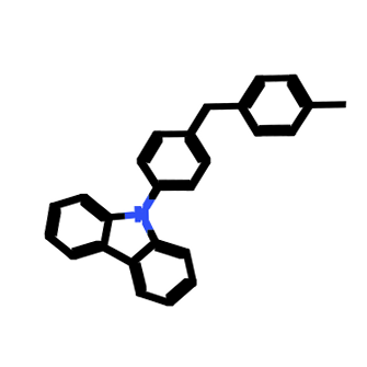 Cc1ccc(Cc2ccc(-n3c4ccccc4c4ccccc43)cc2)cc1